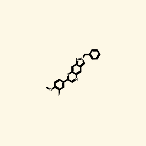 COc1ccc(-c2cnc3cc4cn(Cc5ccccc5)nc4cc3n2)cc1F